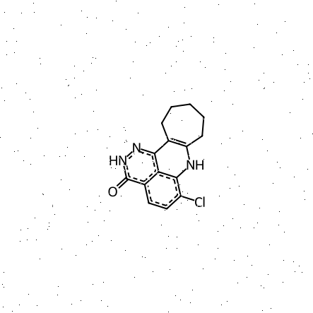 O=c1[nH]nc2c3c(c(Cl)ccc13)NC1=C2CCCCC1